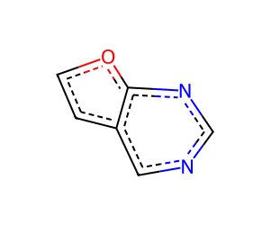 c1ncc2ccoc2n1